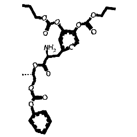 CCCOC(=O)Oc1ccc(C[C@H](N)C(=O)O[C@@H](C)COC(=O)Oc2ccccc2)cc1OC(=O)OCCC